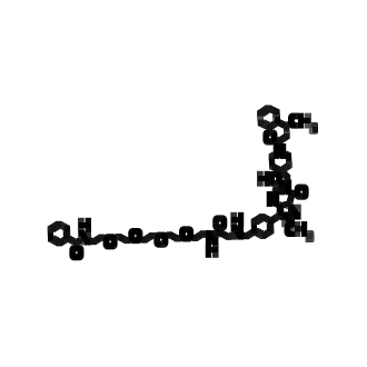 CC(CC(=O)N1CCC(O)(Cn2cnc3c(-c4ccc(CNCC(=O)NCCOCCOCCOCCOCCNC(=O)c5ccccc5)cc4)n(C)nc3c2=O)CC1)c1ccccc1